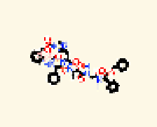 BC(=O)N[C@H](C(=O)N[C@@H](Cc1cn(C(=O)OCc2ccccc2)cn1)C(=O)NC(CCC)C(O)C(=O)NCC(=O)N[C@H](C(=O)OCc1ccccc1)c1ccccc1)C1CCCCC1